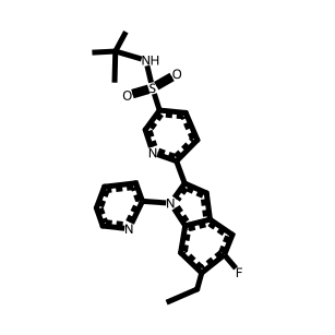 CCc1cc2c(cc1F)cc(-c1ccc(S(=O)(=O)NC(C)(C)C)cn1)n2-c1ccccn1